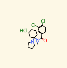 CN(C(=O)c1ccc(Cl)c(Cl)c1)C1(N2CCCC2)CCCCC1.Cl